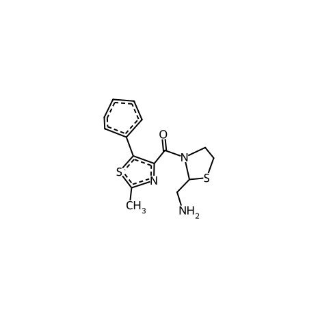 Cc1nc(C(=O)N2CCSC2CN)c(-c2ccccc2)s1